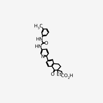 CCC1(CC(=O)O)CCc2cc(-c3ccc(NC(=O)Nc4cccc(C)c4)cn3)ccc2C1=O